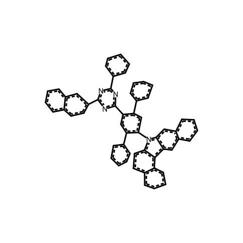 c1ccc(-c2nc(-c3ccc4ccccc4c3)nc(-c3cc(-c4ccccc4)c(-n4c5cc6ccccc6cc5c5c6ccccc6ccc54)cc3-c3ccccc3)n2)cc1